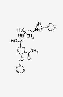 CC(C)(CCn1cnc(-c2ccccc2)c1)NCC(O)c1ccc(OCc2ccccc2)c(C(N)=O)c1